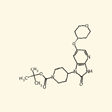 CC(C)(C)OC(=O)N1CCC(n2c(=O)[nH]c3ncc(OC4CCOCC4)cc32)CC1